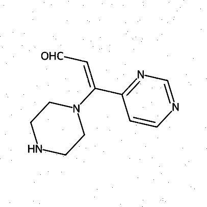 O=CC=C(c1ccncn1)N1CCNCC1